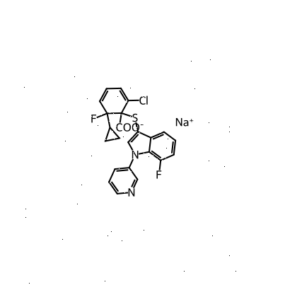 O=C([O-])C1(Sc2cn(-c3cccnc3)c3c(F)cccc23)C(Cl)=CC=CC1(F)C1CC1.[Na+]